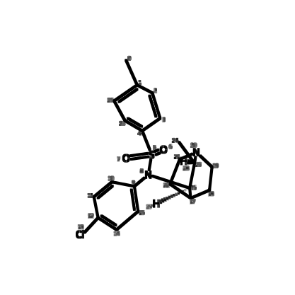 Cc1ccc(S(=O)(=O)N(c2ccc(Cl)cc2)[C@@H]2C3CCN(CC3)[C@H]2C)cc1